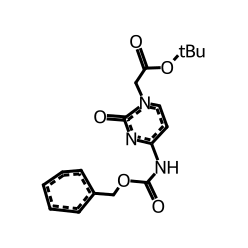 CC(C)(C)OC(=O)Cn1ccc(NC(=O)OCc2ccccc2)nc1=O